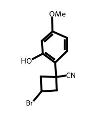 COc1ccc(C2(C#N)CC(Br)C2)c(O)c1